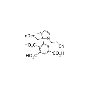 CCCCCCCCCCCC1(c2cc(C(=O)O)cc(C(=O)O)c2C(=O)O)NC=CN1CCC#N